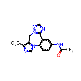 O=C(O)c1ncn2c1Cn1ncnc1-c1cc(NC(=O)C(F)(F)F)ccc1-2